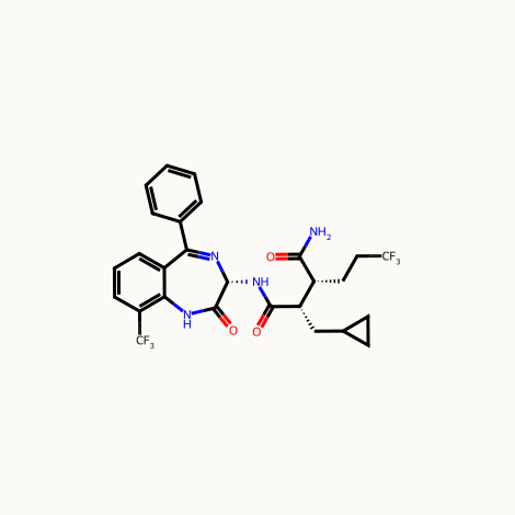 NC(=O)[C@H](CCC(F)(F)F)[C@H](CC1CC1)C(=O)N[C@H]1N=C(c2ccccc2)c2cccc(C(F)(F)F)c2NC1=O